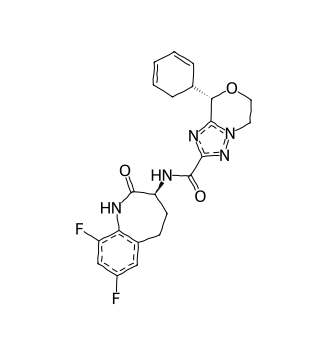 O=C(N[C@H]1CCc2cc(F)cc(F)c2NC1=O)c1nc2n(n1)CCO[C@H]2C1C=CC=CC1